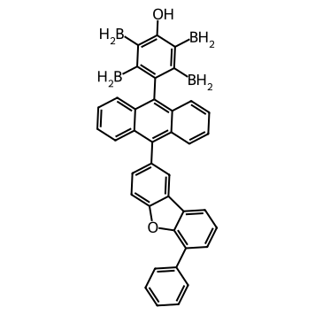 Bc1c(B)c(-c2c3ccccc3c(-c3ccc4oc5c(-c6ccccc6)cccc5c4c3)c3ccccc23)c(B)c(B)c1O